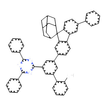 Cc1ccccc1-c1cc(-c2ccc3c(c2)C2(c4ccc(-c5ccccc5)cc4-3)C3CC4CC(C3)CC2C4)cc(-c2nc(-c3ccccc3)nc(-c3ccccc3)n2)c1